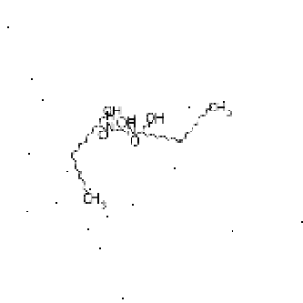 CCCCCCCC/C=C\CCCCCCC(CCO)C(=O)NCC(O)CNC(=O)C(CCO)CCCCCC/C=C\CCCCCCCC